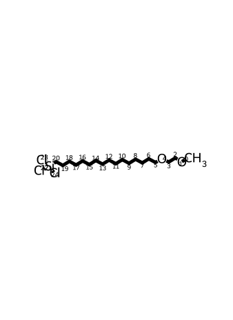 COCCOCCCCCCCCCCCCCCCC[Si](Cl)(Cl)Cl